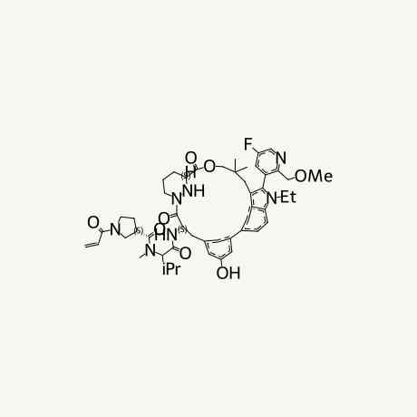 C=CC(=O)N1CC[C@H](C(=O)N(C)C(C(=O)N[C@H]2Cc3cc(O)cc(c3)-c3ccc4c(c3)c(c(-c3cc(F)cnc3COC)n4CC)CC(C)(C)COC(=O)[C@@H]3CCCN(N3)C2=O)C(C)C)C1